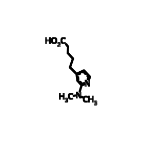 CN(C)c1cc(CCCCC(=O)O)ccn1